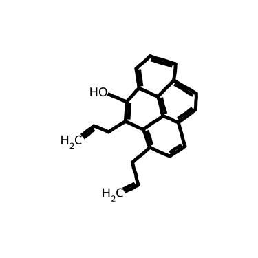 C=CCc1ccc2ccc3cccc4c(O)c(CC=C)c1c2c34